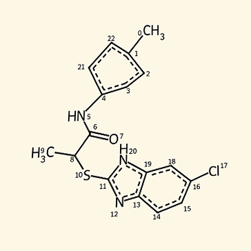 Cc1ccc(NC(=O)C(C)Sc2nc3ccc(Cl)cc3[nH]2)cc1